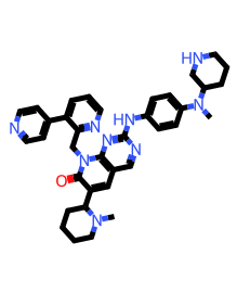 CN1CCCCC1c1cc2cnc(Nc3ccc(N(C)C4CCCNC4)cc3)nc2n(Cc2ncccc2-c2ccncc2)c1=O